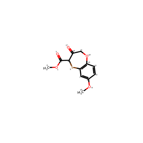 COC(=O)C1Sc2cc(OC)ccc2OCC1=O